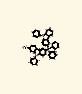 CCCc1ccc2c3cc([PH](c4ccccc4)(c4ccccc4)c4ccc5c(c4)c4ccccc4n5-c4ccccc4)ccc3n(-c3ccccc3)c2c1